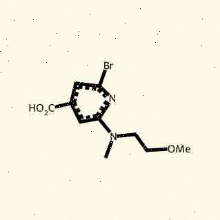 COCCN(C)c1cc(C(=O)O)cc(Br)n1